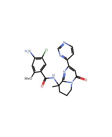 COc1cc(N)c(Cl)cc1C(=O)NC1(C)CCCn2c1nc(-c1ccncn1)cc2=O